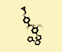 Cc1cc(N2CCC3(CCCN3C3CCCC3)C2)ccc1NC(=O)c1ccc(OCC2CC2)cc1